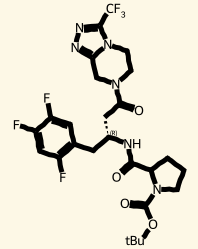 CC(C)(C)OC(=O)N1CCCC1C(=O)N[C@@H](CC(=O)N1CCn2c(nnc2C(F)(F)F)C1)Cc1cc(F)c(F)cc1F